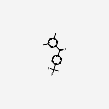 Cc1cc(C)cc(C(=O)c2ccc(C(F)(F)F)cc2)c1